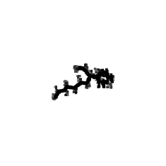 CCCCCCCC(CC)c1cnncn1